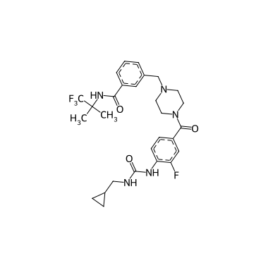 CC(C)(NC(=O)c1cccc(CN2CCN(C(=O)c3ccc(NC(=O)NCC4CC4)c(F)c3)CC2)c1)C(F)(F)F